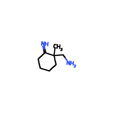 CC1(CN)CCCCC1=N